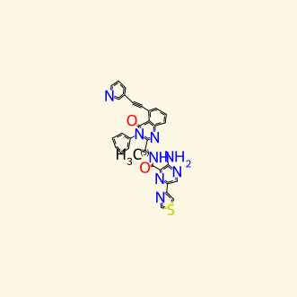 C[C@H](NC(=O)c1nc(-c2cscn2)cnc1N)c1nc2cccc(C#Cc3cccnc3)c2c(=O)n1-c1ccccc1